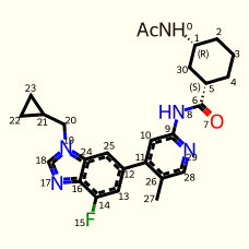 CC(=O)N[C@@H]1CCC[C@H](C(=O)Nc2cc(-c3cc(F)c4ncn(CC5CC5)c4c3)c(C)cn2)C1